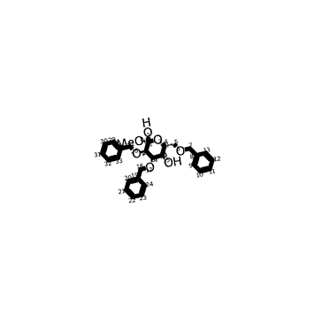 CO[C@]1(O)O[C@H](COCc2ccccc2)[C@@H](O)[C@H](OCc2ccccc2)[C@H]1OCc1ccccc1